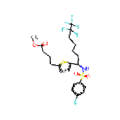 COC(=O)CCCc1ccc(C(CCCCC(F)(F)C(F)(F)F)NS(=O)(=O)c2ccc(F)cc2)s1